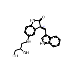 O=C1Nc2ccc(NCC(O)CO)cc2/C1=C\c1c[nH]c2ccccc12